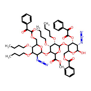 CCCCOC1C(N=[N+]=[N-])[C@H](OC2C(C(=O)OC)OC(O[C@@H]3C(COC(=O)c4ccccc4)OC(O)[C@@H](N=[N+]=[N-])[C@H]3OC(=O)C(=O)c3ccccc3)[C@@H](OCCCC)[C@H]2OCCCC)OC(COC(=O)C(=O)c2ccccc2)[C@H]1OCCCC